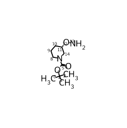 CC(C)(C)OC(=O)N1CCC[C@@H](ON)C1